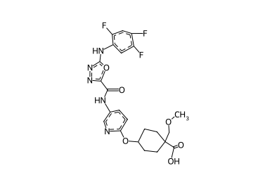 COCC1(C(=O)O)CCC(Oc2ccc(NC(=O)c3nnc(Nc4cc(F)c(F)cc4F)o3)cn2)CC1